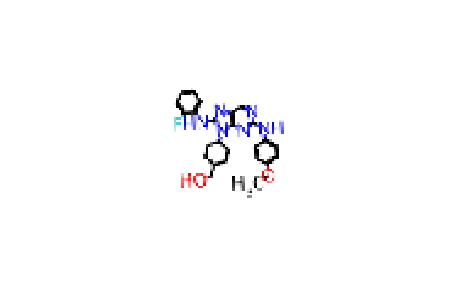 COc1ccc(Nc2ncc3nc(Nc4ccccc4F)n(C4CCC(CO)CC4)c3n2)cc1